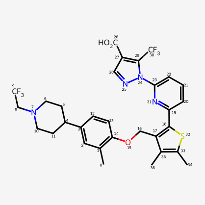 Cc1cc(C2CCN(CC(F)(F)F)CC2)ccc1OCc1c(-c2cccc(-n3ncc(C(=O)O)c3C(F)(F)F)n2)sc(C)c1C